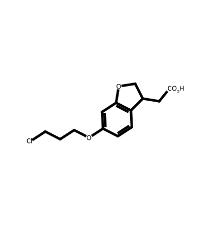 O=C(O)CC1COc2cc(OCCCCl)ccc21